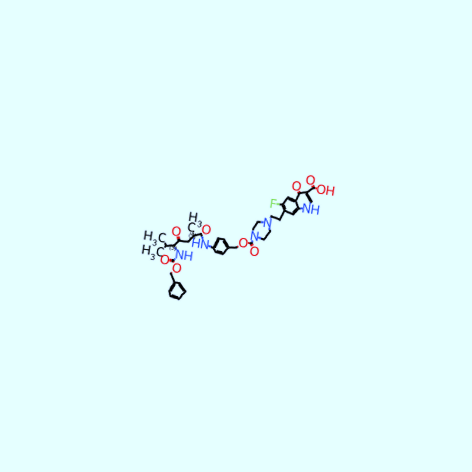 CC(C)[C@H](NC(=O)OCc1ccccc1)C(=O)C[C@H](C)C(=O)Nc1ccc(COC(=O)N2CCN(CCc3cc4[nH]cc(C(=O)O)c(=O)c4cc3F)CC2)cc1